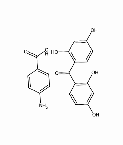 Nc1ccc(C(=O)O)cc1.O=C(c1ccc(O)cc1O)c1ccc(O)cc1O